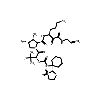 C=CCNC(=O)C(=O)[C@H](CCCC)NC(=O)[C@@H]1[C@@H](C)[C@@H](C)CN1C(=O)[C@@H](NC(=O)NC1([C@@H]2OCCS2(=O)=O)CCCCC1)C(C)(C)C